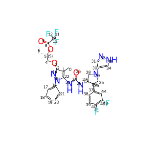 Cc1c(OC[C@H](C)OC(=O)C(F)(F)F)nn(-c2ccccc2)c1NC(=O)N[C@@H]1CN(c2cn[nH]c2)C[C@H]1c1ccc(F)c(F)c1